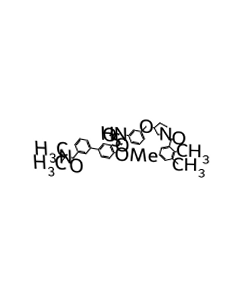 COc1ccc(-c2cccc(C(=O)N(C)C)c2)cc1S(=O)(=O)Nc1cccc(O[C@H]2CCN(C(=O)c3cccc(C)c3C)C2)c1